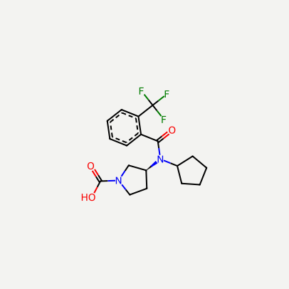 O=C(O)N1CC[C@H](N(C(=O)c2ccccc2C(F)(F)F)C2CCCC2)C1